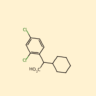 O=C(O)C(c1ccc(Cl)cc1Cl)C1CCCCC1